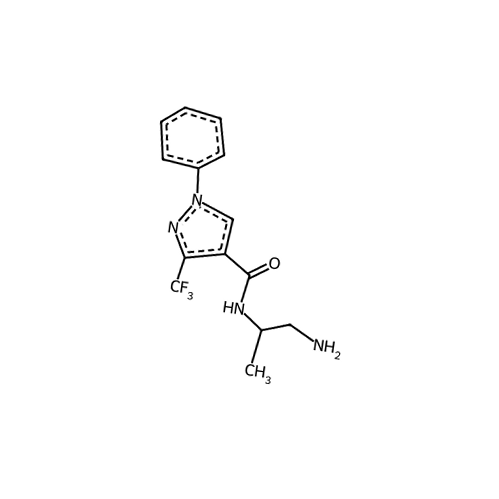 CC(CN)NC(=O)c1cn(-c2ccccc2)nc1C(F)(F)F